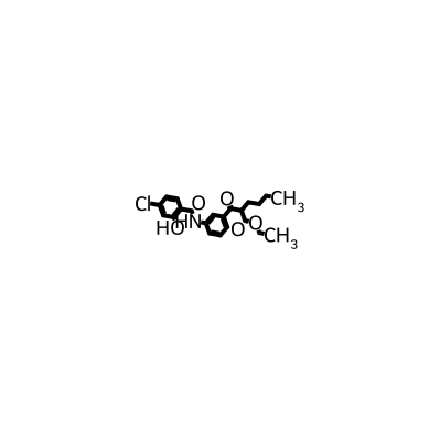 CCCCC(C(=O)OCC)C(=O)c1cccc(NC(=O)c2ccc(Cl)cc2O)c1